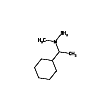 BN(C)C(C)C1CCCCC1